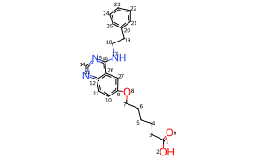 O=C(O)CCCCCOc1ccc2ncnc(NCCc3ccccc3)c2c1